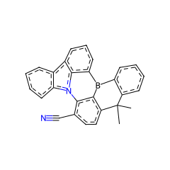 CC1(C)c2ccccc2B2c3c1ccc(C#N)c3-n1c3ccccc3c3cccc2c31